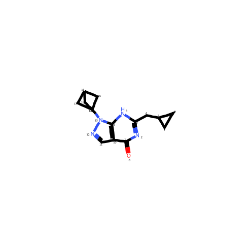 O=c1nc(CC2CC2)[nH]c2c1cnn2C12CC(C1)C2